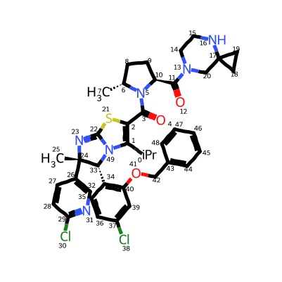 CC(C)C1=C(C(=O)N2[C@H](C)CC[C@H]2C(=O)N2CCNC3(CC3)C2)SC2=N[C@@](C)(c3ccc(Cl)nc3)[C@@H](c3ccc(Cl)cc3OCc3ccccc3)N21